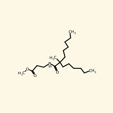 CCCCCCC(C)(CCCCCC)C(=O)NCCC(=O)OC